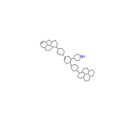 C1=CC2CC3CCC(C4CCC(C5=CCC(C6CCC(C7CCC8CCC9CCCC%10CCC7C8C9%10)CC6)C(C6CCNCC6)C5)CC4)C4CCC(C1)C2C34